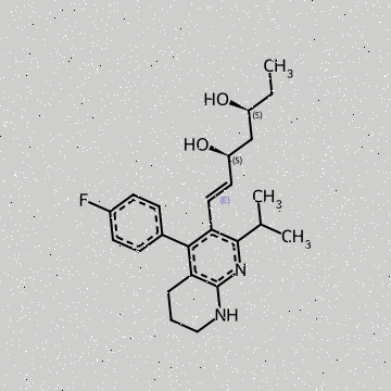 CC[C@H](O)C[C@H](O)/C=C/c1c(C(C)C)nc2c(c1-c1ccc(F)cc1)CCCN2